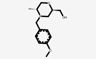 COc1ccc(CN2C[C@H](CO)OC[C@H]2C)cc1